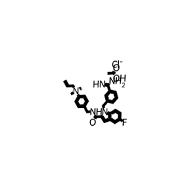 C=CC[N+](C)(C)c1ccc(CNC(=O)c2cc3cc(F)ccc3n2Cc2cccc(C(=N)N)c2)cc1.CC(=O)O.[Cl-]